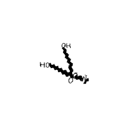 CC(C)N(C)CCCOC(=O)C(CCCCCCCCCCO)CCCCCCCCCCO